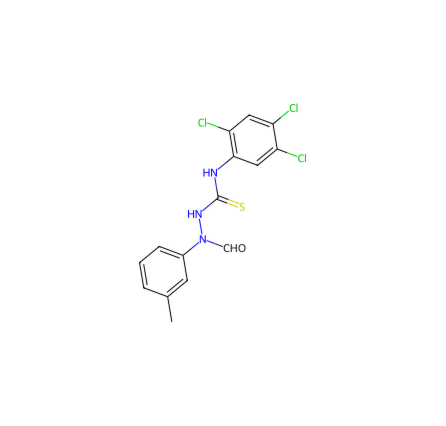 Cc1cccc(N(C=O)NC(=S)Nc2cc(Cl)c(Cl)cc2Cl)c1